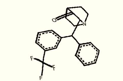 O=C1C2CCN(CC2)C1C(c1ccccc1)c1cccc(C(F)(F)F)c1